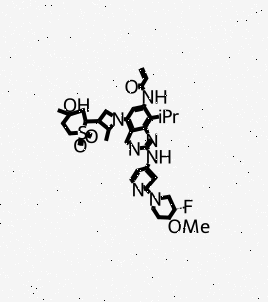 C=CC(=O)Nc1cc(N2CC(C3CC(C)(O)CCS3(=O)=O)C2C)c2cnc(Nc3ccnc(N4CC[C@@H](OC)[C@@H](F)C4)c3)nc2c1C(C)C